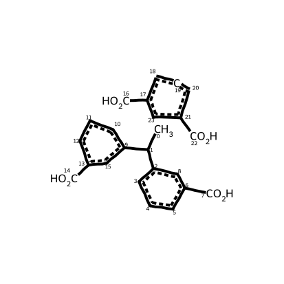 CC(c1cccc(C(=O)O)c1)c1cccc(C(=O)O)c1.O=C(O)c1cccc(C(=O)O)c1